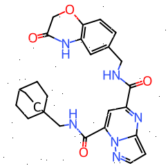 O=C1COc2ccc(CNC(=O)c3cc(C(=O)NCC45CCC(CC4)CC5)n4nccc4n3)cc2N1